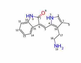 Cc1c[nH]c(/C=C2\C(=O)Nc3ccccc32)c1CCN